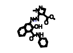 COC(=O)c1cnn(C)c1/N=N/c1cc2ccccc2c(C(=O)Nc2ccccc2)c1O